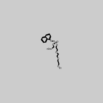 CCCCCCCCCCCOP(=O)(OCCOCCOCCOCC)OOc1cccc2ccccc12